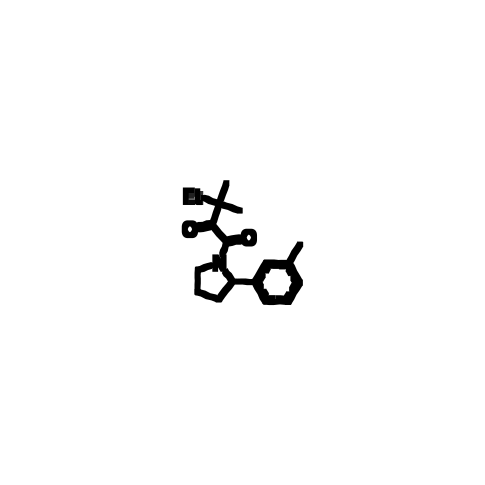 CCC(C)(C)C(=O)C(=O)N1CCCC1c1cccc(C)c1